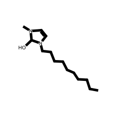 CCCCCCCCCCN1C=CN(C)C1O